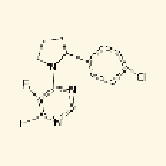 Fc1ncnc(N2CCCC2c2ccc(Cl)cc2)c1F